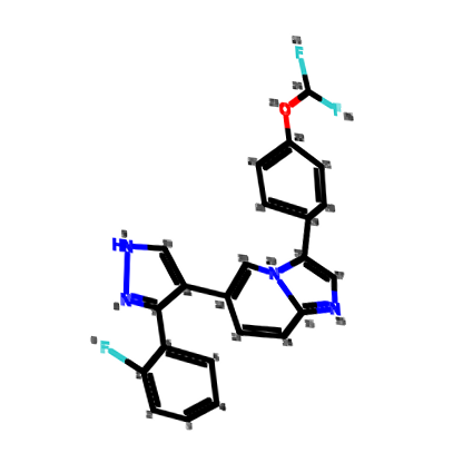 Fc1ccccc1-c1n[nH]cc1-c1ccc2ncc(-c3ccc(OC(F)F)cc3)n2c1